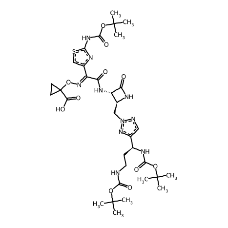 CC(C)(C)OC(=O)NCC[C@H](NC(=O)OC(C)(C)C)c1cnn(C[C@@H]2NC(=O)[C@H]2NC(=O)C(=NOC2(C(=O)O)CC2)c2csc(NC(=O)OC(C)(C)C)n2)n1